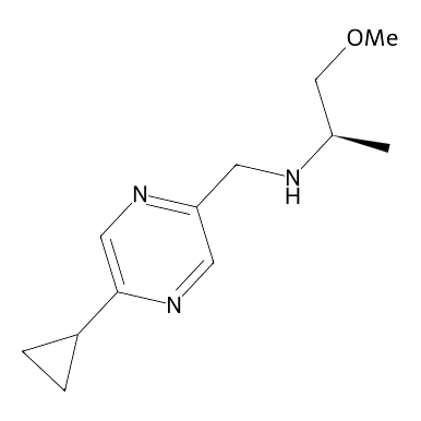 COC[C@@H](C)NCc1cnc(C2CC2)cn1